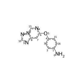 Nc1ccc(Oc2cc3ncnn3cn2)cc1